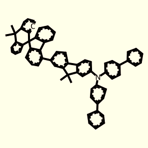 CC1(C)c2cc(-c3cccc4c3-c3ccccc3C43c4ccccc4C(C)(C)c4ccccc43)ccc2-c2ccc(N(c3ccc(-c4ccccc4)cc3)c3ccc(-c4ccccc4)cc3)cc21